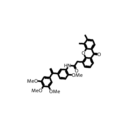 C=C(c1ccc(OC)c(NC(=O)Cc2cccc3c(=O)c4ccc(C)c(C)c4oc23)c1)c1cc(OC)c(OC)c(OC)c1